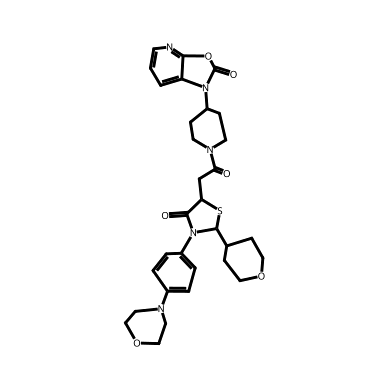 O=C(CC1SC(C2CCOCC2)N(c2ccc(N3CCOCC3)cc2)C1=O)N1CCC(n2c(=O)oc3ncccc32)CC1